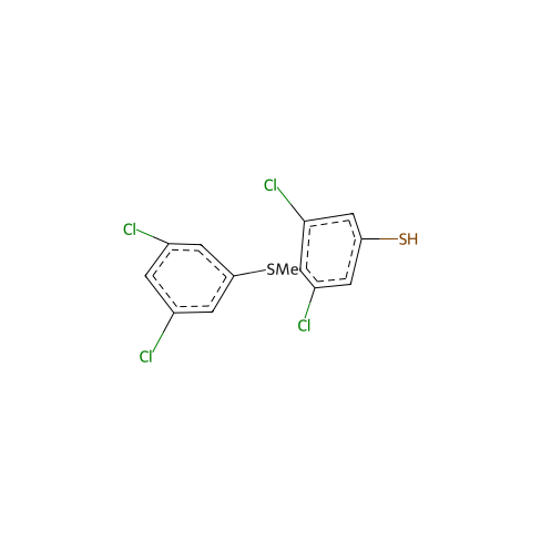 CSc1cc(Cl)cc(Cl)c1.Sc1cc(Cl)cc(Cl)c1